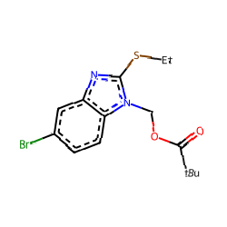 CCSc1nc2cc(Br)ccc2n1COC(=O)C(C)(C)C